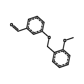 COc1ccccc1COc1cccc(C=O)c1